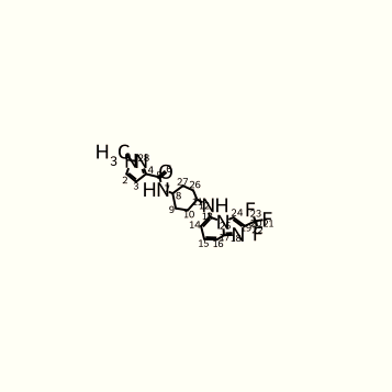 Cn1ccc(C(=O)NC2CCC(Nc3cccc4nc(C(F)(F)F)cn34)CC2)n1